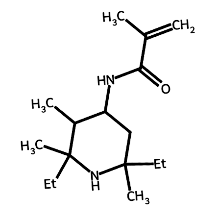 C=C(C)C(=O)NC1CC(C)(CC)NC(C)(CC)C1C